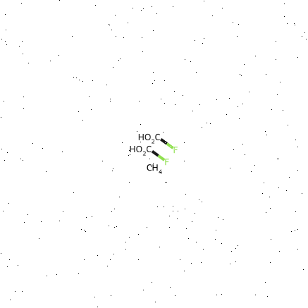 C.O=C(O)F.O=C(O)F